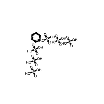 O=S(=O)(O)O.O=S(=O)(O)O.O=S(=O)(O)O.O=S(=O)(O)O.O=S(=O)(O)O.O=S(=O)(O)O.c1ccccc1